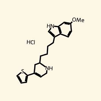 COc1ccc2c(CCCCC3CC(c4cccs4)=CCN3)c[nH]c2c1.Cl